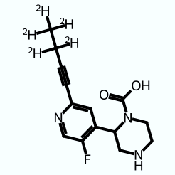 [2H]C([2H])([2H])C([2H])([2H])C#Cc1cc(C2CNCCN2C(=O)O)c(F)cn1